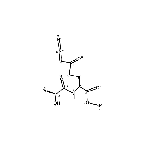 CC(C)OC(=O)[C@H](CCC(=O)C=[N+]=[N-])NC(=O)[C@@H](O)C(C)C